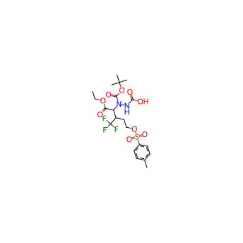 CCOC(=O)C(C(CCOS(=O)(=O)c1ccc(C)cc1)C(F)(F)F)N(NC(=O)O)C(=O)OC(C)(C)C